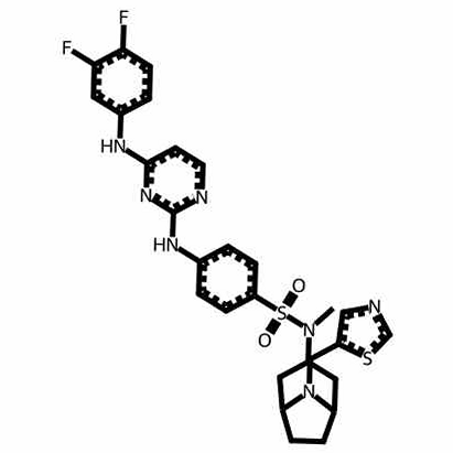 CN(C1CC2CCC(C1)N2Cc1cncs1)S(=O)(=O)c1ccc(Nc2nccc(Nc3ccc(F)c(F)c3)n2)cc1